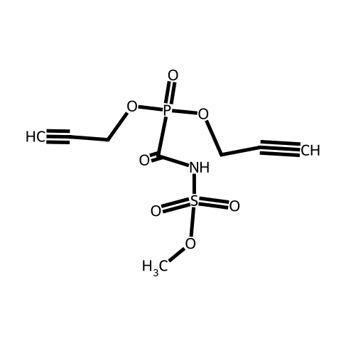 C#CCOP(=O)(OCC#C)C(=O)NS(=O)(=O)OC